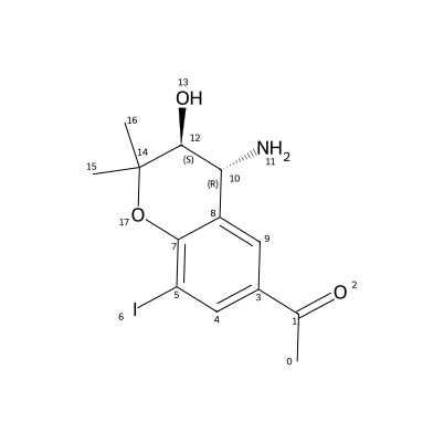 CC(=O)c1cc(I)c2c(c1)[C@@H](N)[C@H](O)C(C)(C)O2